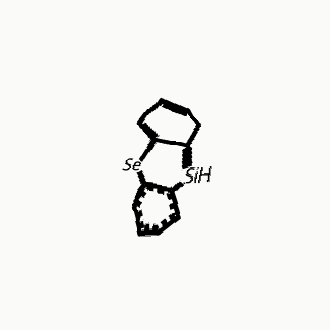 C1=CCC2=[SiH]c3ccccc3[Se]C2=C1